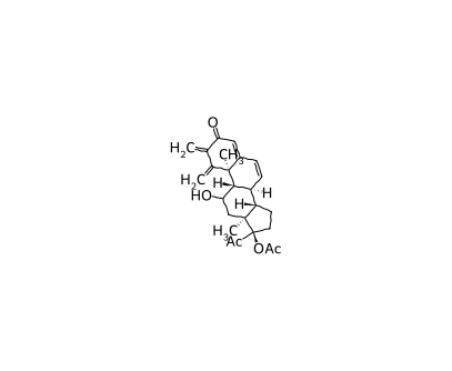 C=C1C(=C)[C@@]2(C)C(=CC1=O)C=C[C@@H]1[C@@H]2C(O)C[C@@]2(C)[C@H]1CC[C@]2(OC(C)=O)C(C)=O